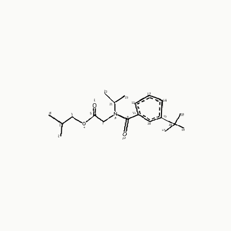 CC(C)COC(=O)CN(C(=O)c1cccc(C(C)(C)C)c1)C(C)C